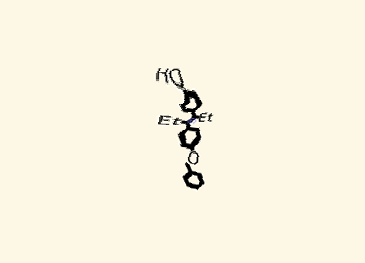 CC/C(=C(/CC)c1ccc(OCc2ccccc2)cc1)c1ccc(O)cc1